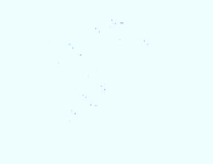 CC(=O)OCc1c(-c2cc(Nc3ccc(C(=O)N4CCOCC4)cn3)c(=O)n(C)c2)ccnc1N1CCn2c(cc3c2CCCC3)C1=O